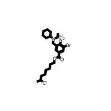 CCN(Cc1cc(C(=O)OCCCCCCC(C)Cl)cc(Br)c1N)C1CCCCC1